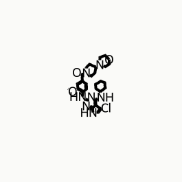 COc1cc(C(=O)N2CCC(N3CCOCC3)CC2)ccc1Nc1nc(NC2CCCCC2)c2c(Cl)c[nH]c2n1